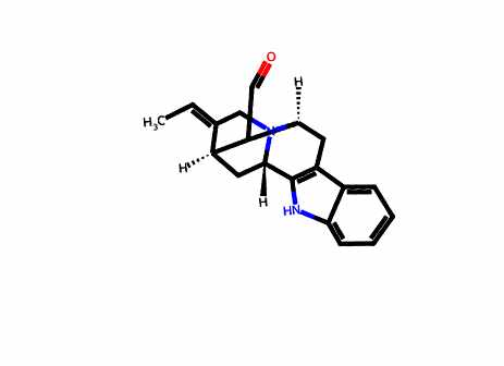 C/C=C1/CN2[C@H]3C[C@@H]1C(C=O)[C@@H]2Cc1c3[nH]c2ccccc12